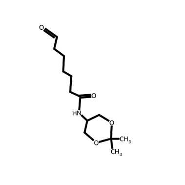 CC1(C)OCC(NC(=O)CCCCCC=O)CO1